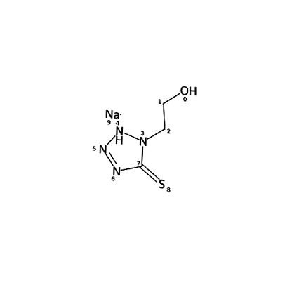 OCCn1[nH]nnc1=S.[Na]